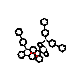 c1ccc(-c2ccc(N(c3ccc4c(c3)-c3ccccc3C43c4ccccc4Oc4c(N(c5ccc(-c6ccccc6)cc5)c5ccc(-c6ccccc6)cc5)cccc43)c3ccccc3-c3ccccc3)cc2)cc1